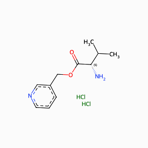 CC(C)[C@H](N)C(=O)OCc1cccnc1.Cl.Cl